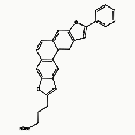 CCCCCCCCCCCCCc1cc2cc3c(ccc4cc5oc(-c6ccccc6)cc5cc43)cc2o1